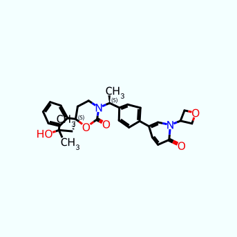 C[C@@H](c1ccc(-c2ccc(=O)n(C3COC3)c2)cc1)N1CC[C@](CC(C)(C)O)(c2ccccc2)OC1=O